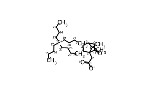 CC1(C)C2CCC1(CC(=O)[O-])C(=O)C2.CCCC[P+](CCCC)(CCCC)CCCC